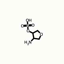 NC1COCC1OS(=O)(=O)O